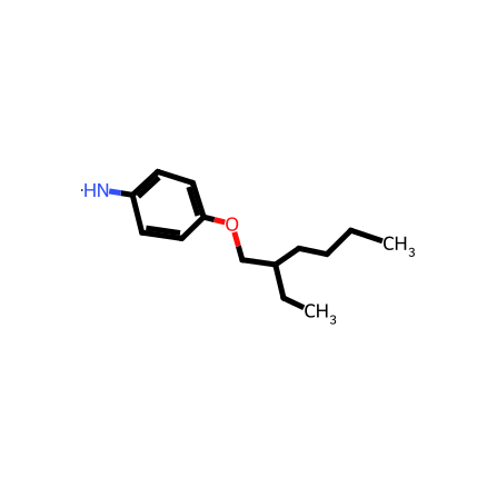 CCCCC(CC)COc1ccc([NH])cc1